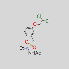 CCN(NC(C)=O)S(=O)(=O)Cc1cccc(OCC(Cl)Cl)c1